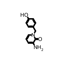 Nc1cccn(Cc2ccc(O)cc2)c1=O